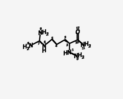 NN[C@@H](CCCNC(N)N)C(N)=O